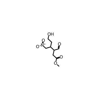 COC(=O)CC(C=O)C(CCO)C[N+](=O)[O-]